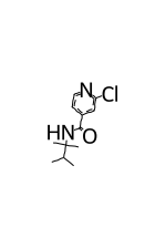 CC(C)C(C)(C)NC(=O)c1ccnc(Cl)c1